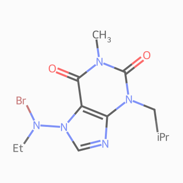 CCN(Br)n1cnc2c1c(=O)n(C)c(=O)n2CC(C)C